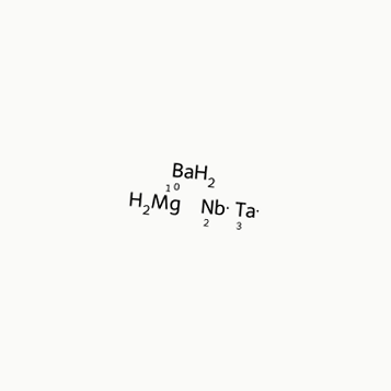 [BaH2].[MgH2].[Nb].[Ta]